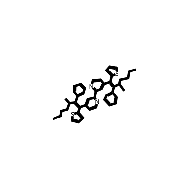 CCCCC(C)C(=C(c1ccnc(-c2cc(C(=C(c3ccccc3)C(C)CCCC)c3cccs3)ccn2)c1)c1cccs1)c1ccccc1